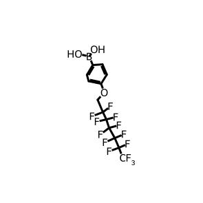 OB(O)c1ccc(OCC(F)(F)C(F)(F)C(F)(F)C(F)(F)C(F)(F)C(F)(F)F)cc1